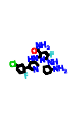 NC(=O)c1cc(F)c(NC2CCCCC2N)nc1Nc1cncc(-c2cc(Cl)ccc2F)c1